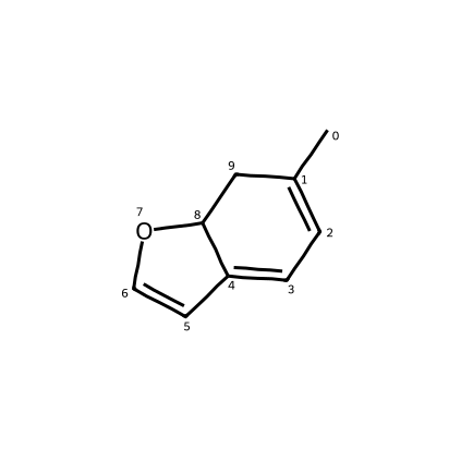 CC1=CC=C2C=COC2C1